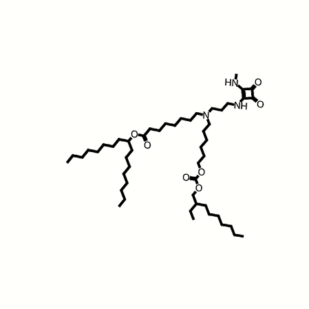 CCCCCCCCC(CCCCCCCC)OC(=O)CCCCCCCN(CCCCCCOC(=O)OCC(CC)CCCCCCC)CCCNc1c(NC)c(=O)c1=O